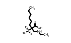 CCCCCCC(CNCC)(C(=O)O)S(=O)(=O)O